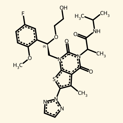 COc1ccc(F)cc1[C@H](Cn1c(=O)n(C(C)C(=O)NC(C)C)c(=O)c2c(C)c(-n3nccn3)sc21)OCCO